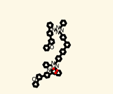 c1ccc(-c2nc(-c3ccc(-c4ccc(-c5cccc(-c6ccc(-c7nc(-c8ccccc8)nc(-n8c9ccccc9c9ccc(-c%10ccc%11oc%12ccccc%12c%11c%10)cc98)n7)cc6)c5)cc4)cc3)nc(-c3ccccc3-n3c4ccccc4c4ccc(-c5ccc6oc7ccccc7c6c5)cc43)n2)cc1